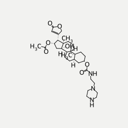 CC(=O)O[C@H]1C[C@]2(O)[C@@H]3CC[C@@H]4C[C@@H](OC(=O)NCCN5CCNCC5)CC[C@]4(C)[C@H]3CC[C@]2(C)[C@H]1C1=CC(=O)OC1